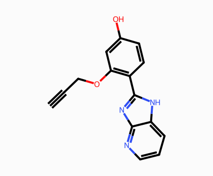 C#CCOc1cc(O)ccc1-c1nc2ncccc2[nH]1